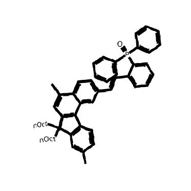 CCCCCCCCC1(CCCCCCCC)c2cc(C)ccc2-c2c1cc(C)c1ccc(/C=C/c3ccccc3P(=O)(c3ccccc3)c3ccccc3)cc21